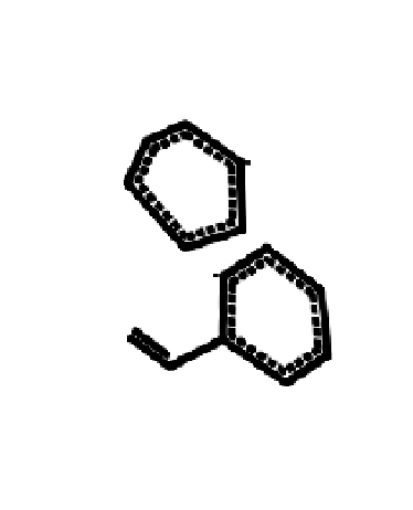 C=Cc1[c]cccc1.[c]1ccccc1